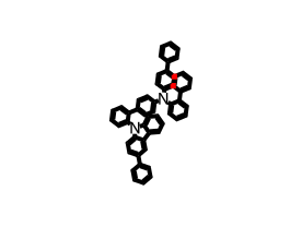 c1ccc(-c2ccc(N(c3ccc(-c4ccccc4-n4c5ccccc5c5cc(-c6ccccc6)ccc54)cc3)c3ccccc3-c3ccccc3)cc2)cc1